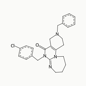 O=C1C2=C(CCN(Cc3ccccc3)C2)N2CCCCN=C2N1Cc1ccc(Cl)cc1